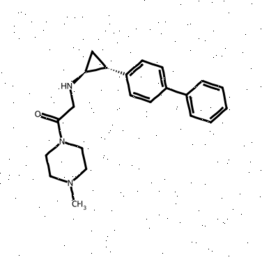 CN1CCN(C(=O)CN[C@H]2C[C@@H]2c2ccc(-c3ccccc3)cc2)CC1